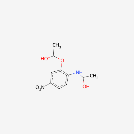 CC(O)Nc1ccc([N+](=O)[O-])cc1OC(C)O